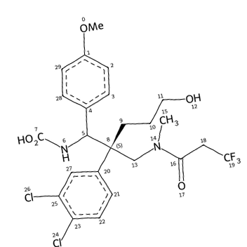 COc1ccc(C(NC(=O)O)[C@](CCCO)(CN(C)C(=O)CC(F)(F)F)c2ccc(Cl)c(Cl)c2)cc1